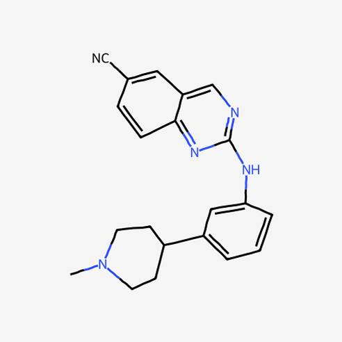 CN1CCC(c2cccc(Nc3ncc4cc(C#N)ccc4n3)c2)CC1